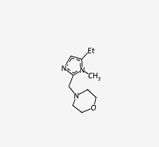 CCc1cnc(CN2CCOCC2)n1C